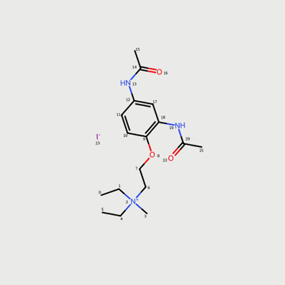 CC[N+](C)(CC)CCOc1ccc(NC(C)=O)cc1NC(C)=O.[I-]